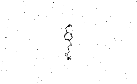 CC(C)Cc1ccc(SCCOC(C)C)cc1